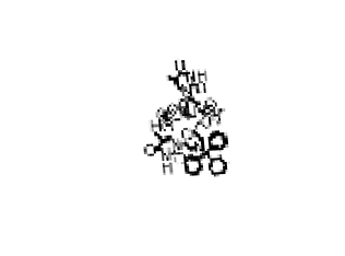 Cc1cn([C@H]2CN(C(c3ccccc3)(c3ccccc3)c3ccccc3)C[C@@H](COP(=O)(N(C)C)N3C[C@@H](CP(=O)(O)O)O[C@@H](n4cc(C)c(=O)[nH]c4=O)C3)O2)c(=O)[nH]c1=O